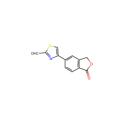 O=Cc1nc(-c2ccc3c(c2)COC3=O)cs1